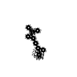 [2H]c1c([2H])c([2H])c(-n2c3ccccc3c3cc(-c4ccc(-c5ccc6c(c5)c5ccccc5n6-c5nc(-c6ccccc6)nc(-c6ccccc6)n5)cc4)ccc32)c([2H])c1[2H]